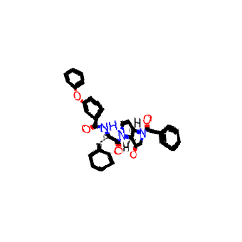 O=C(N[C@@H](CC1CCCCC1)C(=O)N1CC[C@@H]2[C@H]1C(=O)CN2C(=O)c1ccccc1)c1cccc(Oc2ccccc2)c1